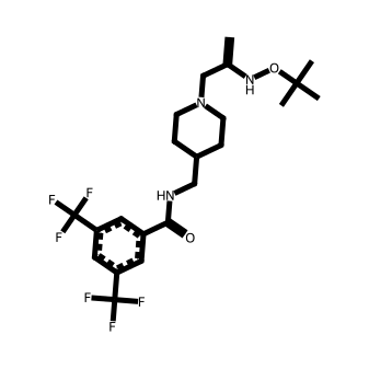 C=C(CN1CCC(CNC(=O)c2cc(C(F)(F)F)cc(C(F)(F)F)c2)CC1)NOC(C)(C)C